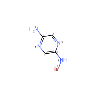 Nc1cnc(NBr)cn1